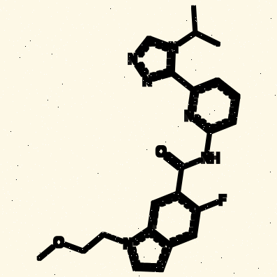 COCCn1ccc2cc(F)c(C(=O)Nc3cccc(-c4nncn4C(C)C)n3)cc21